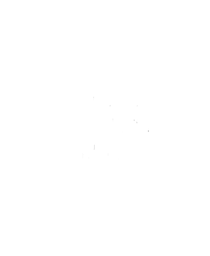 CC(C)c1cccc(CN(C)C)c1P(Cl)Cl